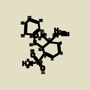 CCC(C)NC1([N+](=O)[O-])C=CC=C(S(N)(=O)=O)C1Sc1ccccc1